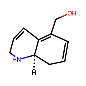 OCC1=C2C=CCN[C@@H]2CC=C1